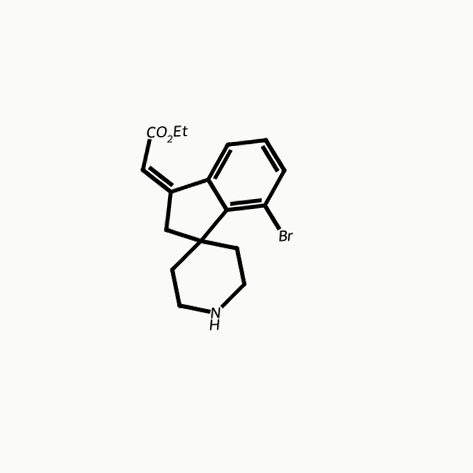 CCOC(=O)/C=C1/CC2(CCNCC2)c2c(Br)cccc21